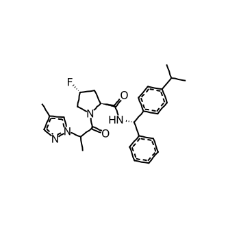 Cc1cnn(C(C)C(=O)N2C[C@H](F)C[C@H]2C(=O)N[C@@H](c2ccccc2)c2ccc(C(C)C)cc2)c1